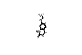 CC[N]c1ccc2c(c1)NC(=O)CC2